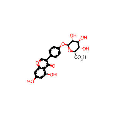 O=C(O)[C@H]1OC(Oc2ccc(-c3coc4cc(O)cc(O)c4c3=O)cc2)[C@H](O)[C@@H](O)[C@@H]1O